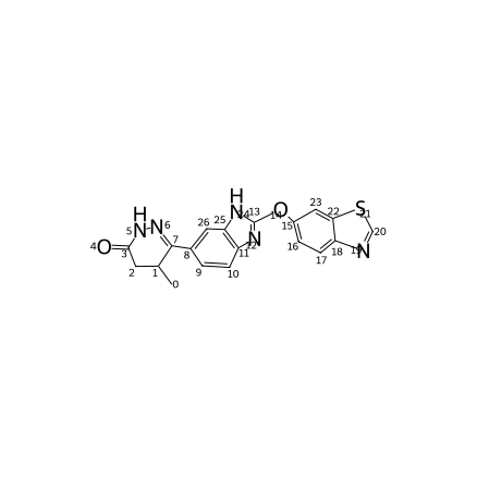 CC1CC(=O)NN=C1c1ccc2nc(Oc3ccc4ncsc4c3)[nH]c2c1